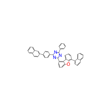 c1ccc(-c2nc(-c3ccc(-c4ccc5ccccc5c4)cc3)nc(-c3cccc4oc5c(-c6cccc7ccccc67)cccc5c34)n2)cc1